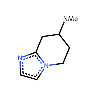 CNC1CCn2ccnc2C1